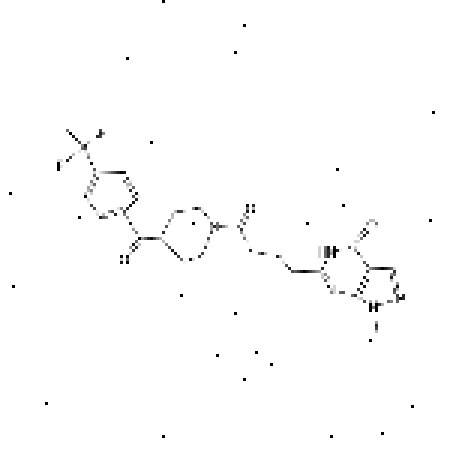 Cn1ncc2c(=O)[nH]c(CCCC(=O)N3CCC(C(=O)c4ccc(C(C)(F)F)cc4)CC3)nc21